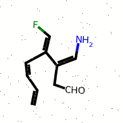 C=C\C=C/C(=C\F)C(=C\N)/CC=O